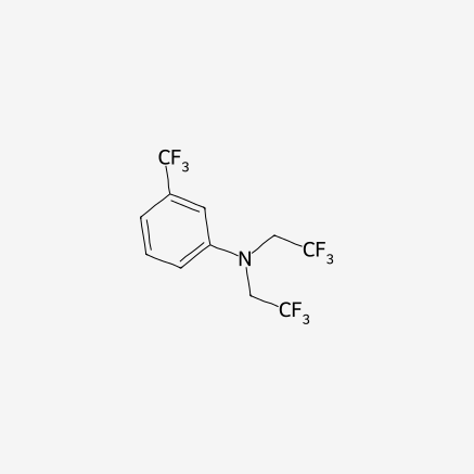 FC(F)(F)CN(CC(F)(F)F)c1cccc(C(F)(F)F)c1